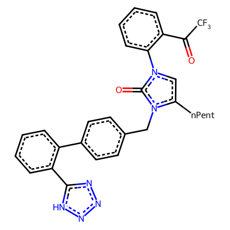 CCCCCc1cn(-c2ccccc2C(=O)C(F)(F)F)c(=O)n1Cc1ccc(-c2ccccc2-c2nnn[nH]2)cc1